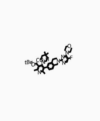 Cc1nc(C)c([C@H](OC(C)(C)C)C(=O)O)c(N2CCC(C)(C)CC2)c1-c1ccc2c(c1)CCN(c1ncc(F)c(N3CCOCC3)n1)C2